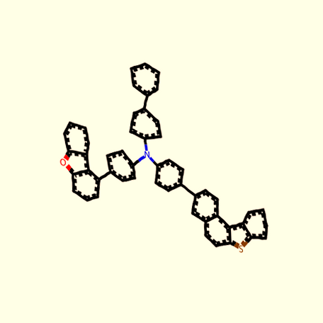 c1ccc(-c2ccc(N(c3ccc(-c4ccc5c(ccc6sc7ccccc7c65)c4)cc3)c3ccc(-c4cccc5oc6ccccc6c45)cc3)cc2)cc1